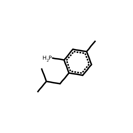 Cc1ccc(CC(C)C)c(P)c1